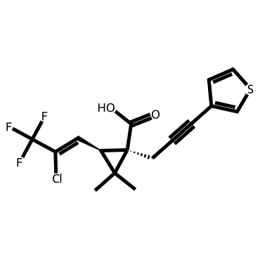 CC1(C)[C@@H](/C=C(\Cl)C(F)(F)F)[C@@]1(CC#Cc1ccsc1)C(=O)O